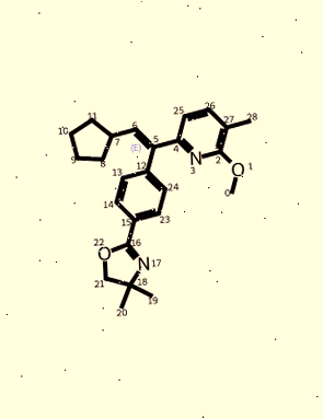 COc1nc(/C(=C/C2CCCC2)c2ccc(C3=NC(C)(C)CO3)cc2)ccc1C